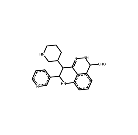 O=CC1NN=C2c3c(cccc31)NC(c1cccnc1)C2C1CCCNC1